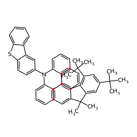 CC(C)(C)c1cc(C(C)(C)C)c2c(c1)C(C)(C)c1cccc(-c3ccccc3N(c3ccc4sc5ccccc5c4c3)c3ccccc3-c3ccccc3)c1-2